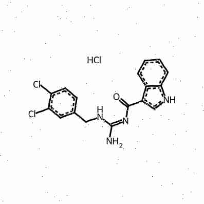 Cl.NC(=NC(=O)c1c[nH]c2ccccc12)NCc1ccc(Cl)c(Cl)c1